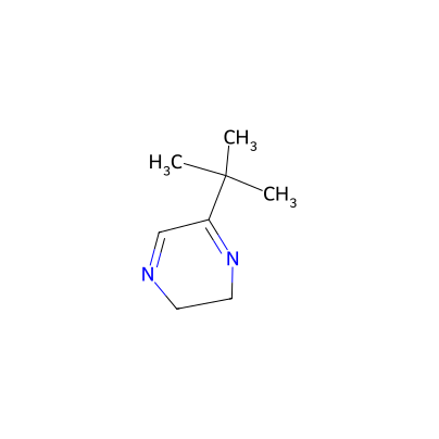 CC(C)(C)C1=NCCN=C1